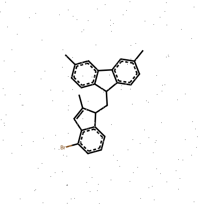 CC1=Cc2c(Br)cccc2C1CC1c2ccc(C)cc2-c2cc(C)ccc21